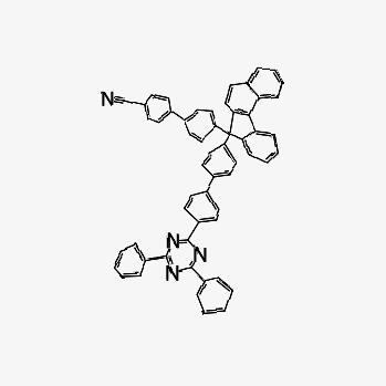 N#Cc1ccc(-c2ccc(C3(c4ccc(-c5ccc(-c6nc(-c7ccccc7)nc(-c7ccccc7)n6)cc5)cc4)c4ccccc4-c4c3ccc3ccccc43)cc2)cc1